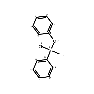 Cl[Si](I)(Oc1ccccc1)c1ccccc1